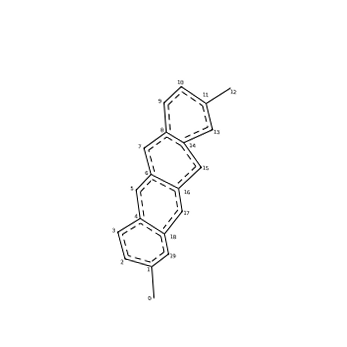 Cc1ccc2cc3cc4ccc(C)cc4cc3cc2c1